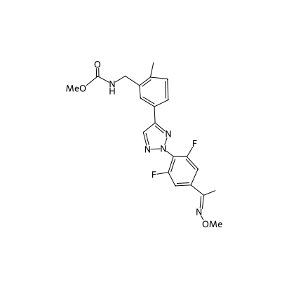 CO/N=C(\C)c1cc(F)c(-n2ncc(-c3ccc(C)c(CNC(=O)OC)c3)n2)c(F)c1